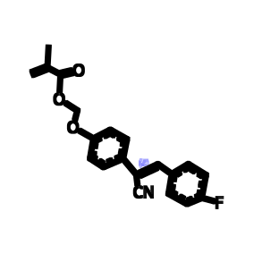 C=C(C)C(=O)OCOc1ccc(/C(C#N)=C/c2ccc(F)cc2)cc1